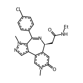 CCNC(=O)C[C@@H]1N=C(c2ccc(Cl)cc2)c2c(cnn2C)-c2cn(C)c(=O)cc21